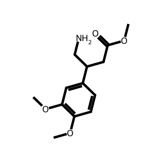 COC(=O)CC(CN)c1ccc(OC)c(OC)c1